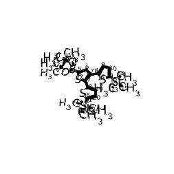 CC1(C)OB(c2cc(-c3ccc([Si](C)(C)C)s3)c(-c3ccc([Si](C)(C)C)s3)s2)OC1(C)C